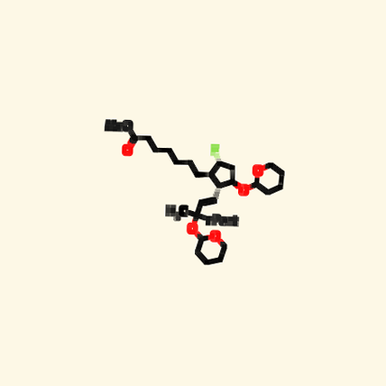 CCCCCC(C)(/C=C/[C@@H]1[C@@H](CCCCCCC(=O)OC)[C@H](F)C[C@H]1OC1CCCCO1)OC1CCCCO1